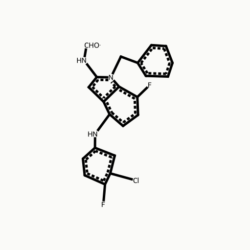 O=[C]Nc1cc2c(Nc3ccc(F)c(Cl)c3)ccc(F)c2n1Cc1ccccc1